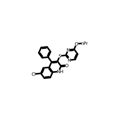 CCCOc1ccnc(Sc2c(-c3ccccc3)c3cc(Cl)ccc3[nH]c2=O)n1